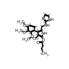 CCCC(=O)Oc1[nH]c(CNc2ncc[nH]2)c(-c2ccc(OC)c(OC)c2OC)c1Cl